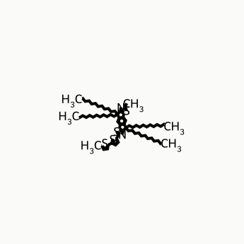 CCCCCCCCCCCCC1(CCCCCCCCCCCC)c2cc3c(cc2-c2sc(C)nc21)C(CCCCCCCCCCCC)(CCCCCCCCCCCC)c1nc(-c2ccc(-c4ccc(C)s4)s2)sc1-3